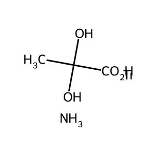 CC(O)(O)C(=O)O.N.[Ti]